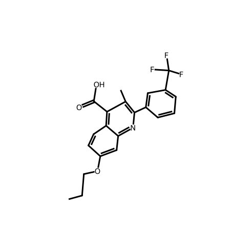 CCCOc1ccc2c(C(=O)O)c(C)c(-c3cccc(C(F)(F)F)c3)nc2c1